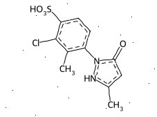 Cc1cc(=O)n(-c2ccc(S(=O)(=O)O)c(Cl)c2C)[nH]1